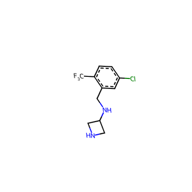 FC(F)(F)c1ccc(Cl)cc1CNC1CNC1